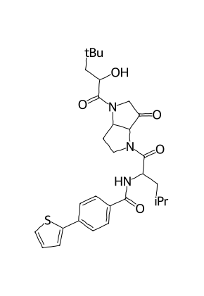 CC(C)CC(NC(=O)c1ccc(-c2cccs2)cc1)C(=O)N1CCC2C1C(=O)CN2C(=O)C(O)CC(C)(C)C